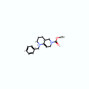 CC(C)(C)OC(=O)N1CC=C2C(CCCN2Cc2ccccc2)C1